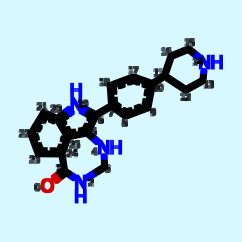 O=C1NCNc2c(-c3ccc(C4CCNCC4)cc3)[nH]c3cccc1c23